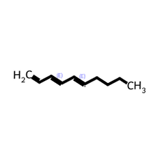 C=C/C=C/C=[C]/CCCC